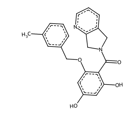 Cc1cccc(COc2cc(O)cc(O)c2C(=O)N2Cc3cccnc3C2)c1